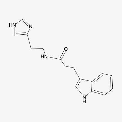 O=C(CCc1c[nH]c2ccccc12)NCCc1c[nH]cn1